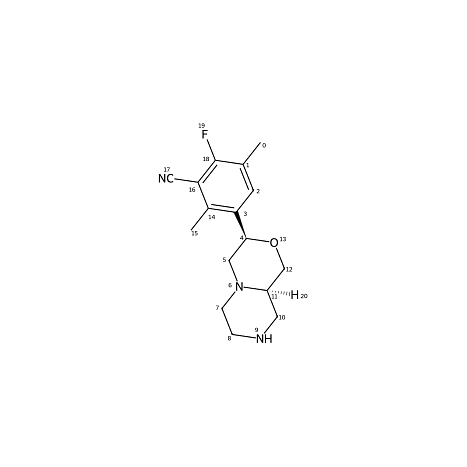 Cc1cc([C@@H]2CN3CCNC[C@@H]3CO2)c(C)c(C#N)c1F